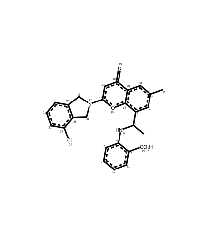 Cc1cc(C(C)Nc2ccccc2C(=O)O)c2oc(N3Cc4cccc(Cl)c4C3)cc(=O)c2c1